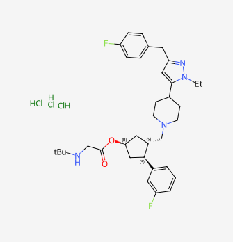 CCn1nc(Cc2ccc(F)cc2)cc1C1CCN(C[C@H]2C[C@H](OC(=O)CNC(C)(C)C)C[C@@H]2c2cccc(F)c2)CC1.Cl.Cl.Cl